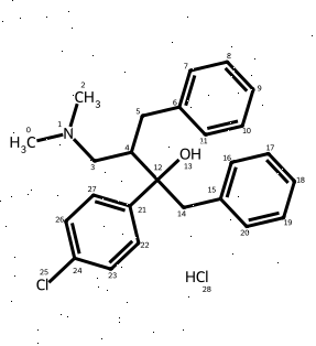 CN(C)CC(Cc1ccccc1)C(O)(Cc1ccccc1)c1ccc(Cl)cc1.Cl